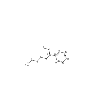 CCN(CCCC[O])c1ccccc1